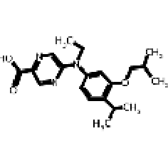 CCN(c1ccc(C(C)C)c(OCC(C)C)c1)c1cnc(C(=O)O)cn1